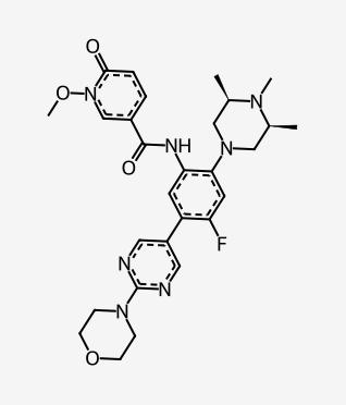 COn1cc(C(=O)Nc2cc(-c3cnc(N4CCOCC4)nc3)c(F)cc2N2C[C@@H](C)N(C)[C@@H](C)C2)ccc1=O